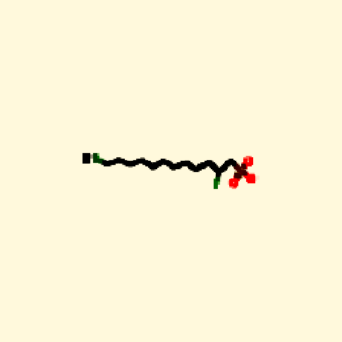 O=S(=O)([O-])CC(F)CCCCCCCCCCF.[Li+]